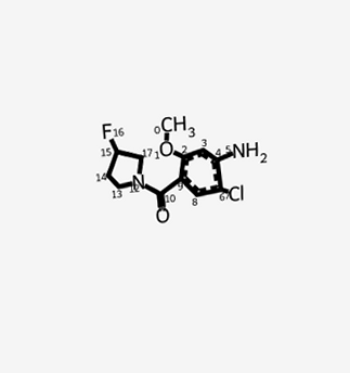 COc1cc(N)c(Cl)cc1C(=O)N1CCC(F)C1